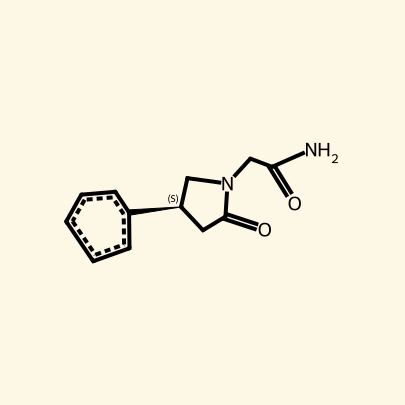 NC(=O)CN1C[C@H](c2ccccc2)CC1=O